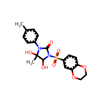 Cc1ccc(N2C(=O)N(S(=O)(=O)c3ccc4c(c3)OCCO4)C(O)C2(C)O)cc1